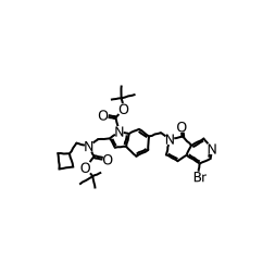 CC(C)(C)OC(=O)N(Cc1cc2ccc(Cn3ccc4c(Br)cncc4c3=O)cc2n1C(=O)OC(C)(C)C)CC1CCC1